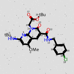 COc1cc(NC(C)(C)C)nc2c1cc(C(=O)NCc1ccc(Cl)cc1)c(=O)n2CC(=O)OC(C)(C)C